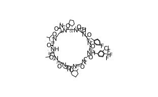 CC[C@H](C)[C@@H]1NC(=O)[C@H](CC(C)C)N(C)C(=O)C[C@@H](C(=O)N(C)C)N(C)C(=O)[C@H](C2CCCC2)N(C)C(=O)C2(CCCC2)NC(=O)[C@H](Cc2ccc(F)cc2)N(C)C(=O)[C@H](CCc2ccc(C(F)(F)F)c(Cl)c2)NC(=O)CN(C)C(=O)[C@H](CC2CCCCC2)N(C)C(=O)[C@@H]2CCN2C(=O)[C@H](C)N(C)C1=O